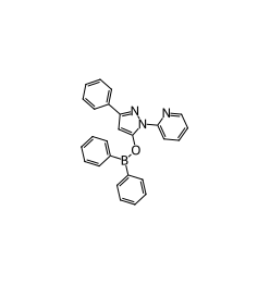 c1ccc(B(Oc2cc(-c3ccccc3)nn2-c2ccccn2)c2ccccc2)cc1